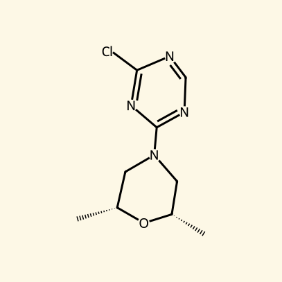 C[C@@H]1CN(c2ncnc(Cl)n2)C[C@H](C)O1